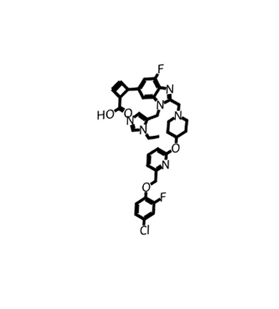 CCn1cncc1Cn1c(CN2CCC(Oc3cccc(COc4ccc(Cl)cc4F)n3)CC2)nc2c(F)cc(C3C#CC3C(=O)O)cc21